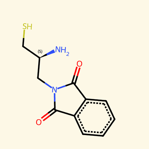 N[C@H](CS)CN1C(=O)c2ccccc2C1=O